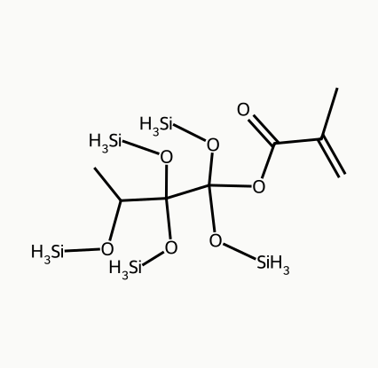 C=C(C)C(=O)OC(O[SiH3])(O[SiH3])C(O[SiH3])(O[SiH3])C(C)O[SiH3]